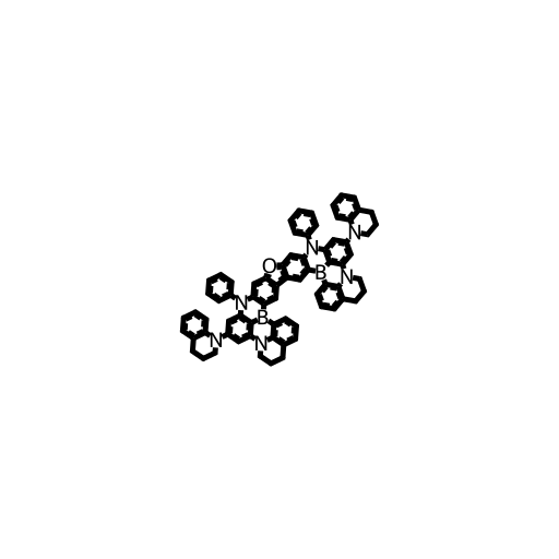 c1ccc(N2c3cc4oc5cc6c(cc5c4cc3B3c4cccc5c4N(CCC5)c4cc(N5CCCc7ccccc75)cc2c43)B2c3cccc4c3N(CCC4)c3cc(N4CCCc5ccccc54)cc(c32)N6c2ccccc2)cc1